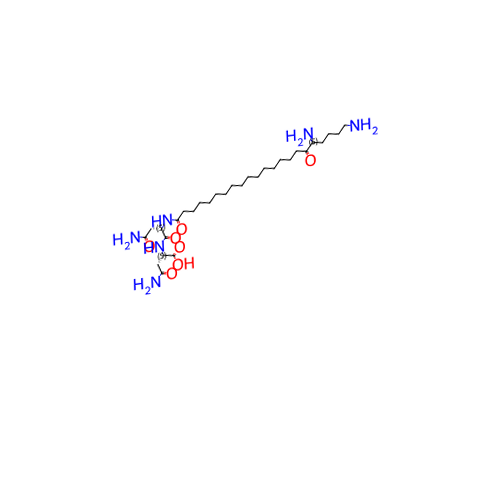 NCCCC[C@H](N)C(=O)CCCCCCCCCCCCCCCC(=O)N[C@@H](CC(N)=O)C(=O)N[C@@H](CC(N)=O)C(=O)O